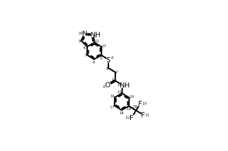 O=C(CCSc1ccc2cn[nH]c2c1)Nc1cccc(C(F)(F)F)c1